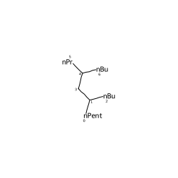 CCCCCC(CCCC)CC(CCC)CCCC